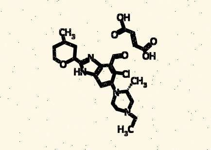 CCN1CCN(c2cc3[nH]c(C4CC(C)CCO4)nc3c(C=O)c2Cl)[C@H](C)C1.O=C(O)/C=C/C(=O)O